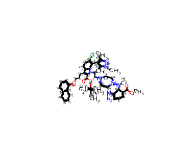 COC(=O)c1cccc(N)c1N(C)N1CCN(CCn2c(C(=O)OC(C)(C)C)c(CCCOc3cccc4ccccc34)c3ccc(Cl)c(-c4c(C)nn(C)c4C)c32)CC1